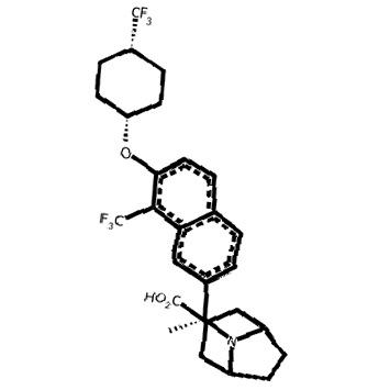 C[C@H](c1ccc2ccc(O[C@H]3CC[C@@H](C(F)(F)F)CC3)c(C(F)(F)F)c2c1)N1C2CCC1CC(C(=O)O)C2